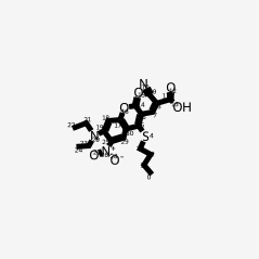 CCCCSc1c(/C=C(\C#N)C(=O)O)c(=O)oc2cc(N(CC)CC)c([N+](=O)[O-])cc12